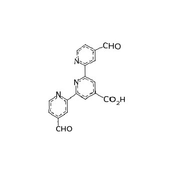 O=Cc1ccnc(-c2cc(C(=O)O)cc(-c3cc(C=O)ccn3)n2)c1